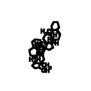 C#CC1(C2CCCC3CC[C@@H]4[C@@H](CC[C@]5(C)C(O)CC[C@@H]45)[C@]32C)CC[C@H]2[C@@H]3CC=C4CCCC[C@]4(C)[C@@H]3CC[C@@]21C